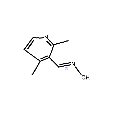 Cc1ccnc(C)c1/C=N/O